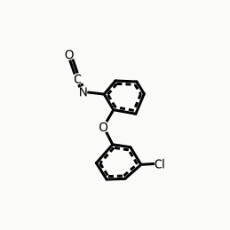 O=C=Nc1ccccc1Oc1cccc(Cl)c1